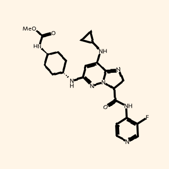 COC(=O)N[C@H]1CC[C@H](NC2=NN3C(=NCC3C(=O)Nc3ccncc3F)C(NC3CC3)=C2)CC1